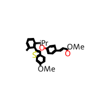 COC(=O)C=Cc1ccc(Oc2c(-c3c(C)cccc3C(C)C)sc3cc(OC)ccc23)cc1